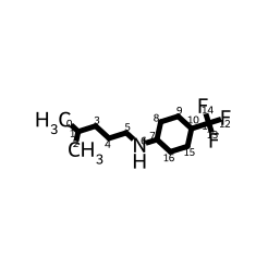 CC(C)CCCNC1CCC(C(F)(F)F)CC1